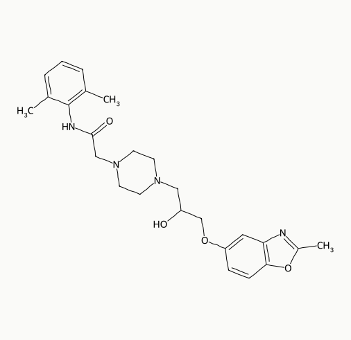 Cc1nc2cc(OCC(O)CN3CCN(CC(=O)Nc4c(C)cccc4C)CC3)ccc2o1